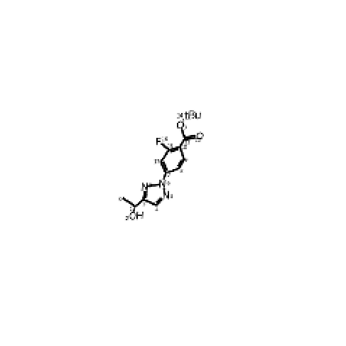 CC(O)c1cnn(-c2ccc(C(=O)OC(C)(C)C)c(F)c2)n1